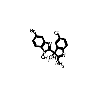 Cn1c(C2(O)C(N)=Nc3ccc(Cl)cc32)nc2cc(Br)ccc21